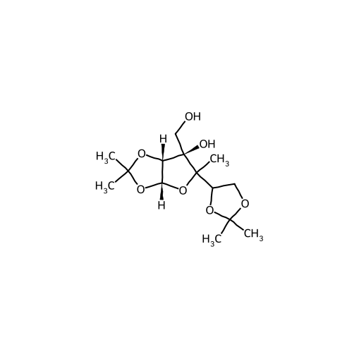 CC1(C)OCC(C2(C)O[C@@H]3OC(C)(C)O[C@@H]3[C@]2(O)CO)O1